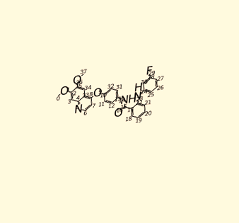 COc1cc2nccc(Oc3ccc(NC(=O)c4ccccc4Nc4cccc(F)c4)cc3)c2cc1OC